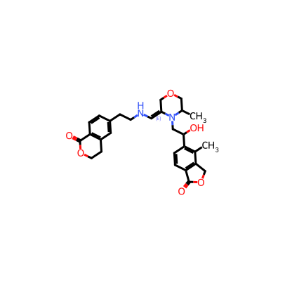 Cc1c(C(O)CN2/C(=C/NCCc3ccc4c(c3)CCOC4=O)COCC2C)ccc2c1COC2=O